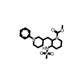 COC(=O)N1CCCC(NS(C)(=O)=O)C1CC1CCCN(c2ccccc2)C1